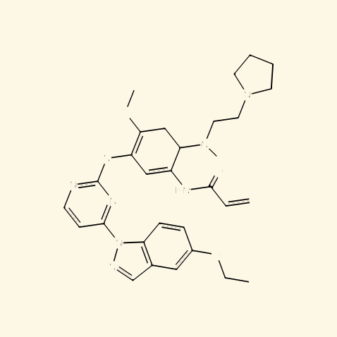 C=CC(=O)NC1=CC(Nc2nccc(-n3ncc4cc(OCC)ccc43)n2)=C(OC)CC1N(C)CCN1CCCC1